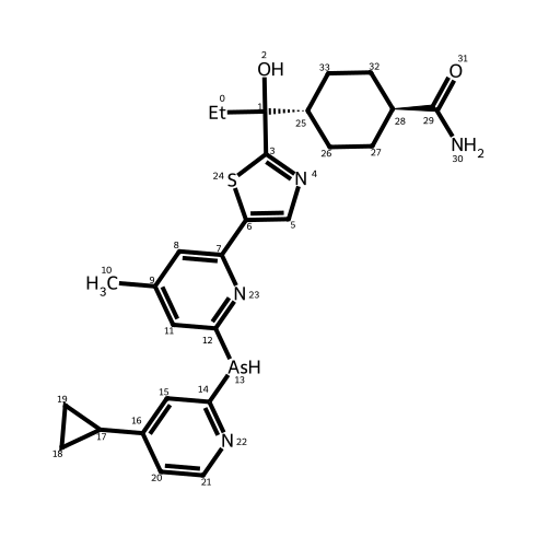 CCC(O)(c1ncc(-c2cc(C)cc([AsH]c3cc(C4CC4)ccn3)n2)s1)[C@H]1CC[C@H](C(N)=O)CC1